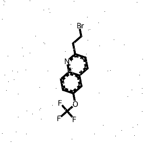 FC(F)(F)Oc1ccc2nc(CCBr)ccc2c1